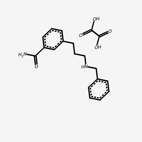 NC(=O)c1cccc(CCCNCc2ccccc2)c1.O=C(O)C(=O)O